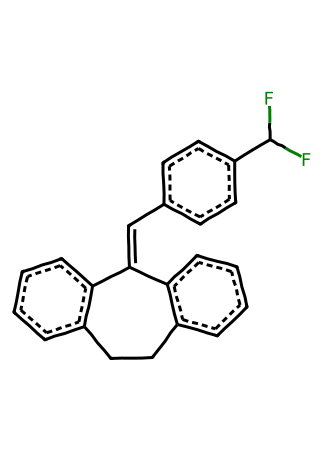 FC(F)c1ccc(C=C2c3ccccc3CCc3ccccc32)cc1